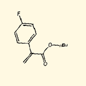 C=C(C(=O)OCCCC)c1ccc(F)cc1